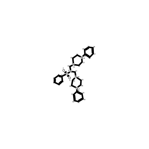 O=S(=O)(c1ccccc1)N(CN1CCN(c2ccccc2)CC1)CN1CCN(c2ccccc2)CC1